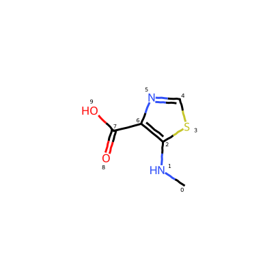 CNc1scnc1C(=O)O